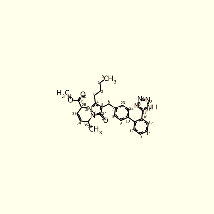 CCCCc1c(Cc2ccc(-c3ccccc3-c3nnn[nH]3)cc2)c(=O)n2n1C(C(=O)OC)C=CC2C